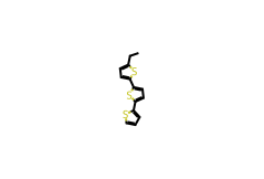 CCc1ccc(-c2ccc(-c3cccs3)s2)s1